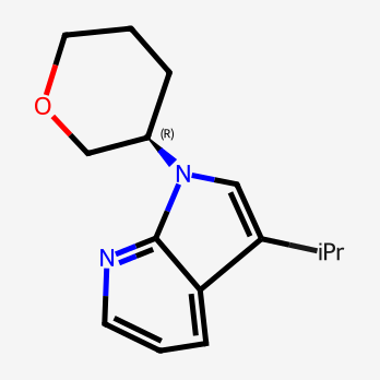 CC(C)c1cn([C@@H]2CCCOC2)c2ncccc12